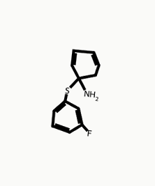 NC1(Sc2cccc(F)c2)C=CC=CC1